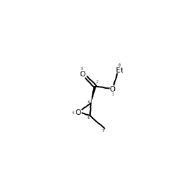 CCOC(=O)[C@@H]1OC1C